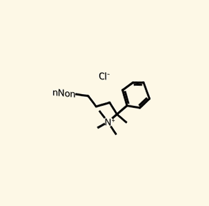 CCCCCCCCCCCCC(C)(c1ccccc1)[N+](C)(C)C.[Cl-]